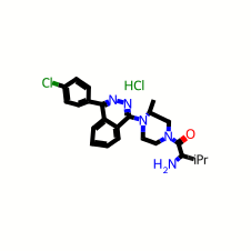 CC(C)C(N)C(=O)N1CCN(c2nnc(-c3ccc(Cl)cc3)c3ccccc23)C(C)C1.Cl